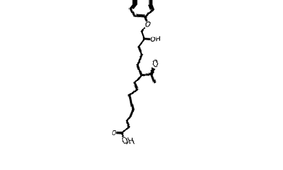 CC(=O)C(CCCCCCC(=O)O)CCCC(O)COc1cccnc1